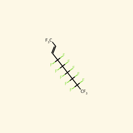 FC(F)(F)C=CC(F)(F)C(F)(F)C(F)(F)C(F)(F)C(F)(F)C(F)(F)F